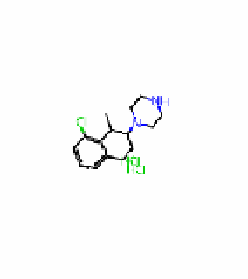 CC1c2c(Cl)cccc2CCC1N1CCNCC1.Cl.Cl